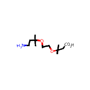 CC(C)(CCN)OCCOC(C)(C)CC(=O)O